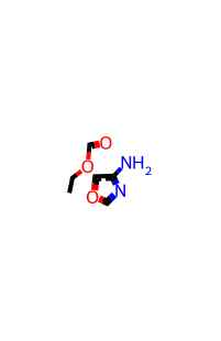 CCOC=O.Nc1cocn1